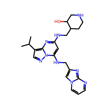 CC(C)c1cnn2c(NCc3cn4cccnc4n3)cc(NCC3CCNCC3O)nc12